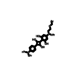 CCCN(CCC)c1ccc(C2C(O)C(c3c(O)cc(N(CCC)CCOCC(C)=O)cc3O)C2O)cc1